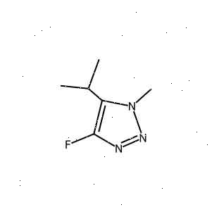 CC(C)c1c(F)nnn1C